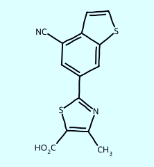 Cc1nc(-c2cc(C#N)c3ccsc3c2)sc1C(=O)O